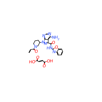 C=CC(=O)N1CCCC(n2nc(C(=O)Nc3nc4ccccc4o3)c3c(N)ncnc32)C1.O=C(O)C=CC(=O)O